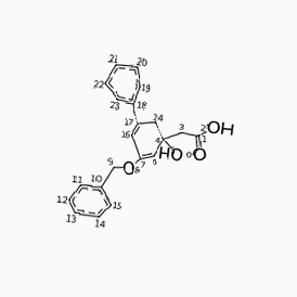 O=C(O)CC1(O)C=C(OCc2ccccc2)C=C(c2ccccc2)C1